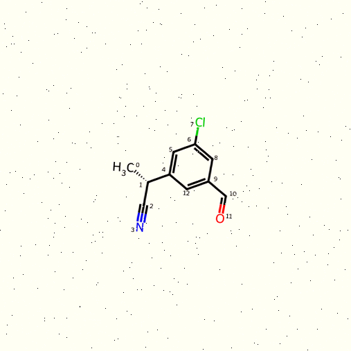 C[C@@H](C#N)c1cc(Cl)cc(C=O)c1